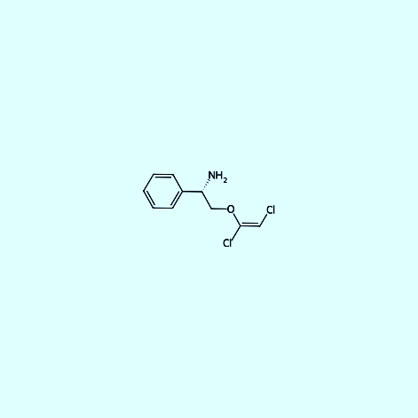 N[C@H](CO/C(Cl)=C\Cl)c1ccccc1